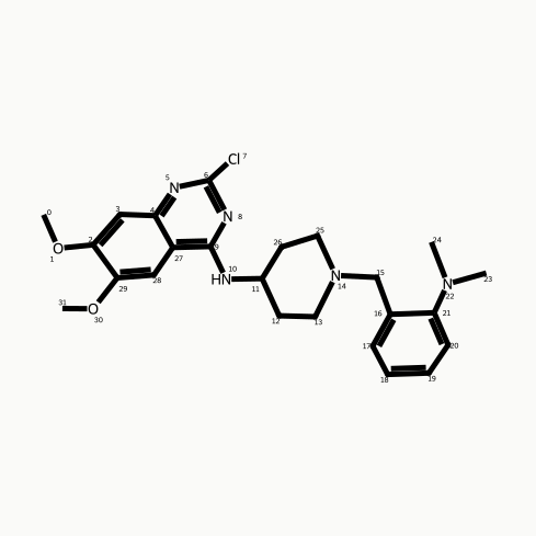 COc1cc2nc(Cl)nc(NC3CCN(Cc4ccccc4N(C)C)CC3)c2cc1OC